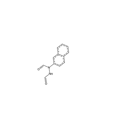 O=CNN(C=O)c1ccc2ccccc2c1